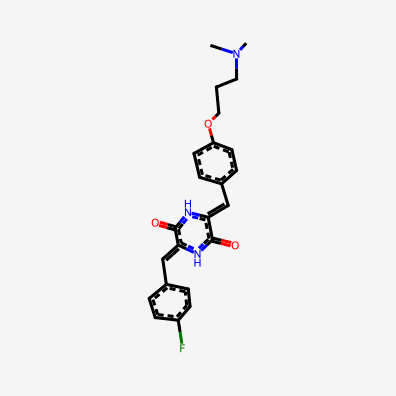 CN(C)CCCOc1ccc(/C=c2\[nH]c(=O)/c(=C/c3ccc(F)cc3)[nH]c2=O)cc1